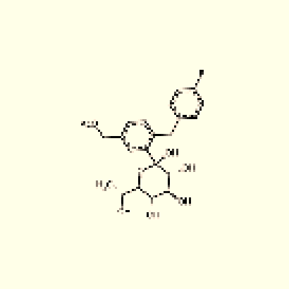 CCc1ccc(Cc2ccc(COC(C)=O)cc2[C@@]2(O)O[C@H]([C@@H](C)O)[C@@H](O)[C@H](O)[C@H]2O)cc1